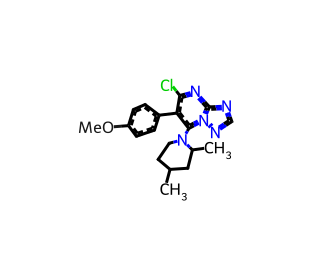 COc1ccc(-c2c(Cl)nc3ncnn3c2N2CCC(C)CC2C)cc1